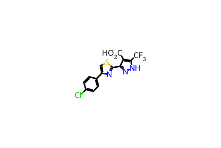 O=C(O)c1c(-c2nc(-c3ccc(Cl)cc3)cs2)n[nH]c1C(F)(F)F